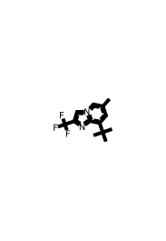 Cc1cc(C(C)(C)C)c2nc(C(F)(F)F)cn2c1